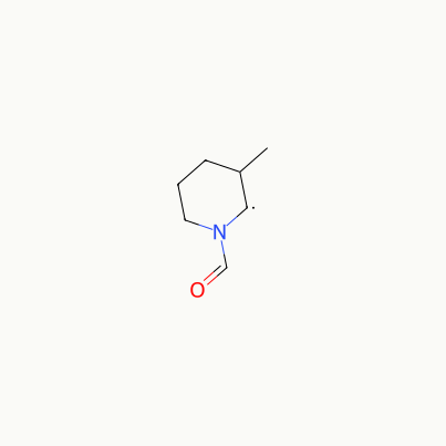 CC1[CH]N(C=O)CCC1